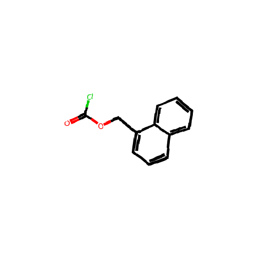 O=C(Cl)OCc1cccc2ccccc12